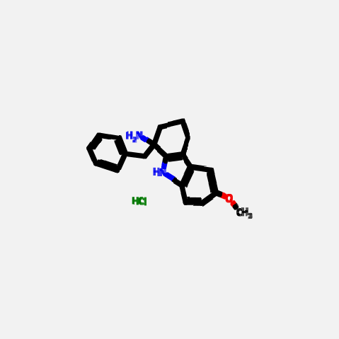 COc1ccc2[nH]c3c(c2c1)CCCC3(N)Cc1ccccc1.Cl